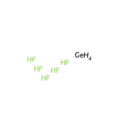 F.F.F.F.F.[GeH4]